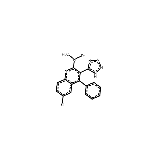 CCN(C)c1nc2ccc(Cl)cc2c(-c2ccccc2)c1-c1nnn[nH]1